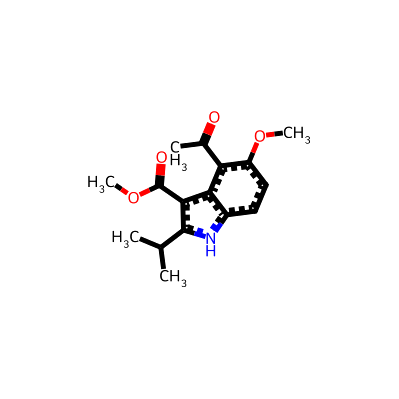 COC(=O)c1c(C(C)C)[nH]c2ccc(OC)c(C(C)=O)c12